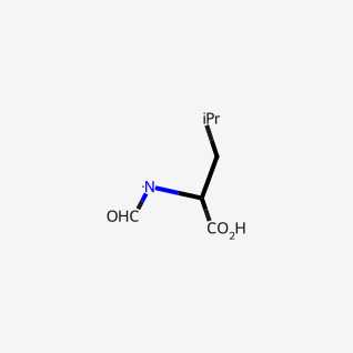 CC(C)CC([N]C=O)C(=O)O